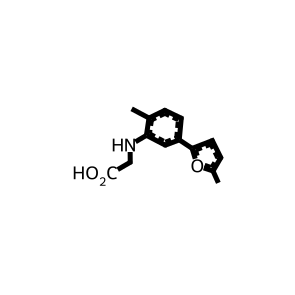 Cc1ccc(-c2ccc(C)c(NCC(=O)O)c2)o1